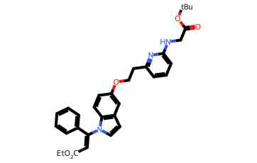 CCOC(=O)C=C(c1ccccc1)n1ccc2cc(OCCc3cccc(NCC(=O)OC(C)(C)C)n3)ccc21